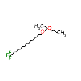 CCCCOC(CC)COCCCCCCCCCCCCCCCC(F)(F)F